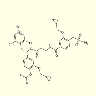 NS(=O)(=O)Cc1ccc(C(=O)NCCC(=O)O[C@@H](Cc2c(Cl)c[n+]([O-])cc2Cl)c2ccc(OC(F)F)c(OCC3CC3)c2)cc1OCC1CC1